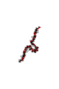 CN(C)CCNC(=O)c1ccc(-c2nc3ccc(-c4ccc5nc(-c6ccc(C(=O)Nc7cccc(-c8cn(CCCNCC(=O)N9CCC[C@H]9C(=O)N9CCC[C@H]9C(=O)N9CCCC9C(=O)N9CCC[C@H]9C(=O)N(CCCn9cc(-c%10cccc(NC(=O)c%11ccc(-c%12nc%13ccc(-c%14ccc%15nc(-c%16ccc(C(=O)NCCN(C)C)cc%16)[nH]c%15c%14)cc%13[nH]%12)cc%11)c%10)nn9)CC(N)=O)nn8)c7)cc6)[nH]c5c4)cc3[nH]2)cc1